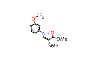 COC(=O)C(=CNc1cccc(OC(F)(F)F)c1)SC